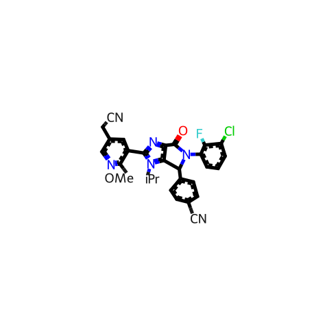 COc1ncc(CC#N)cc1-c1nc2c(n1C(C)C)C(c1ccc(C#N)cc1)N(c1cccc(Cl)c1F)C2=O